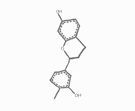 Cc1ccc(C2CCc3ccc(O)cc3O2)cc1O